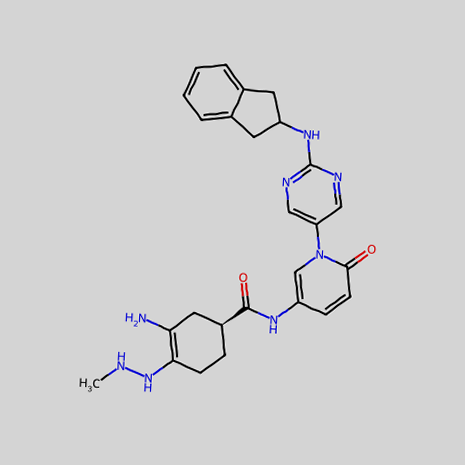 CNNC1=C(N)C[C@@H](C(=O)Nc2ccc(=O)n(-c3cnc(NC4Cc5ccccc5C4)nc3)c2)CC1